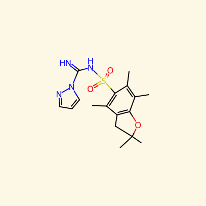 Cc1c(C)c(S(=O)(=O)NC(=N)n2cccn2)c(C)c2c1OC(C)(C)C2